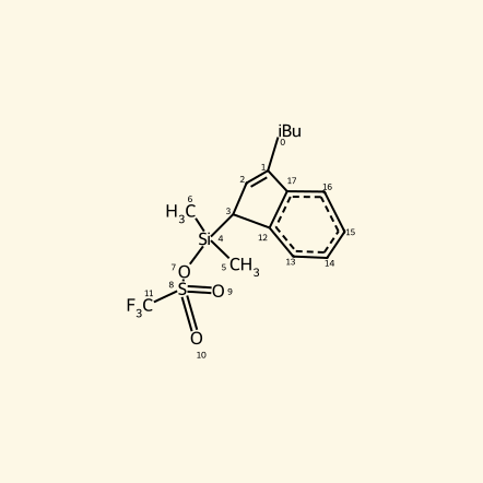 CCC(C)C1=CC([Si](C)(C)OS(=O)(=O)C(F)(F)F)c2ccccc21